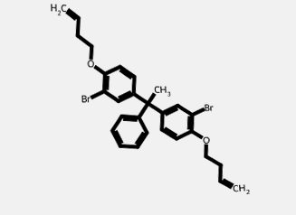 C=CCCOc1ccc(C(C)(c2ccccc2)c2ccc(OCCC=C)c(Br)c2)cc1Br